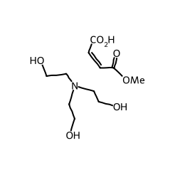 COC(=O)/C=C\C(=O)O.OCCN(CCO)CCO